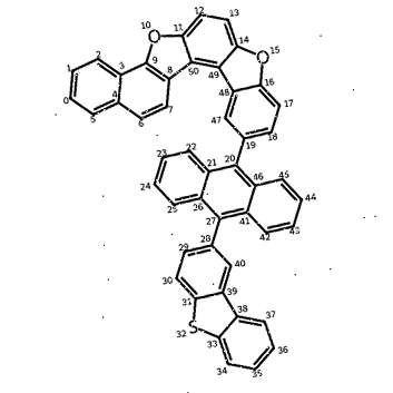 c1ccc2c(c1)ccc1c2oc2ccc3oc4ccc(-c5c6ccccc6c(-c6ccc7sc8ccccc8c7c6)c6ccccc56)cc4c3c21